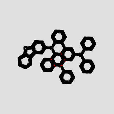 c1ccc(N(c2ccccc2)c2cc(-c3ccccc3N(c3ccccc3)c3ccc4oc5ccccc5c4c3)cc(N(c3ccccc3)c3ccccc3)c2)cc1